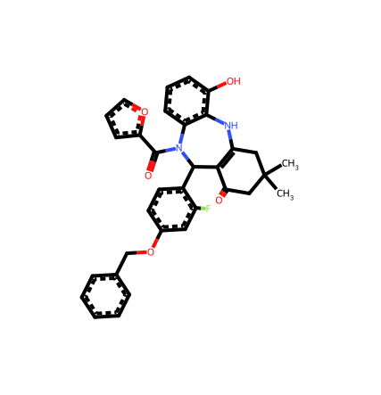 CC1(C)CC(=O)C2=C(C1)Nc1c(O)cccc1N(C(=O)c1ccco1)C2c1ccc(OCc2ccccc2)cc1F